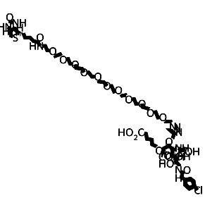 O=C(O)CCCCCO[C@]1(C(=O)O)C[C@H](OCc2cn(CCOCCOCCOCCOCCOCCOCCOCCOCCOCCOCCOCCNC(=O)CCCC[C@@H]3SC[C@@H]4NC(=O)N[C@@H]43)nn2)[C@@H](NC(=O)CO)[C@H]([C@H](O)[C@H](O)CNC(=O)Cc2ccc(Cl)cc2)O1